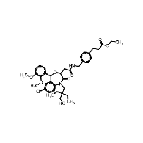 CCOC(=O)CCc1ccc(CNC(=O)CC2OC(c3cccc(OC)c3OC)c3cc(Cl)ccc3N(CC(CC)(CC)CO)C2=O)cc1